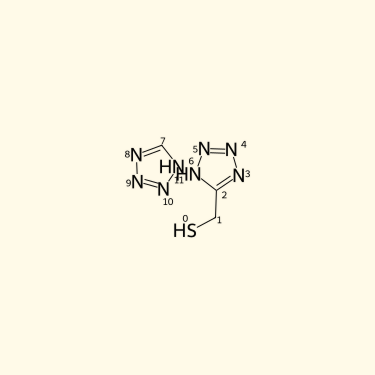 SCc1nnn[nH]1.c1nnn[nH]1